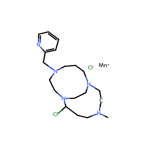 CN1CCC(Cl)N2CCN(CCCN(Cc3ccccn3)CC2)CC1.[Cl-].[Mn+]